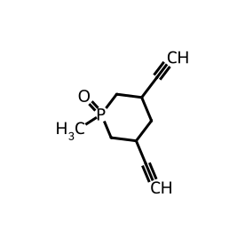 C#CC1CC(C#C)CP(C)(=O)C1